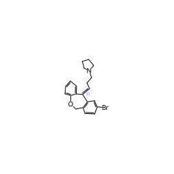 Brc1ccc2c(c1)/C(=C/CCN1CCCC1)c1ccccc1OC2